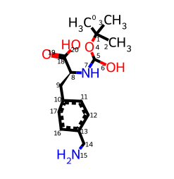 CC(C)(C)OC(O)N[C@@H](Cc1ccc(CN)cc1)C(=O)O